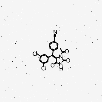 CC(=O)N1C(=O)NC(=O)C1=C(c1ccc(C#N)cc1)c1cc(Cl)cc(Cl)c1